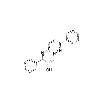 Oc1c[n+]2nc(-c3ccccc3)ccc2nc1-c1ccccc1